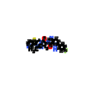 CN(C)c1c(CNC(=O)Cn2cnc3c(c2=O)N[C@H](c2ccc(F)cc2)CC3)sc2ccncc12